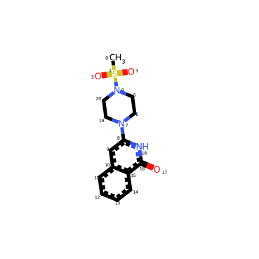 CS(=O)(=O)N1CCN(c2cc3ccccc3c(=O)[nH]2)CC1